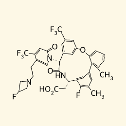 Cc1cc2cc(c1F)[C@H](CC(=O)O)NC(=O)[C@H](n1cc(CCN3CC(F)C3)c(C(F)(F)F)cc1=O)c1cc(cc(C(F)(F)F)c1)Oc1cccc(C)c1-2